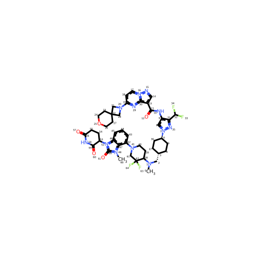 CN(C[C@H]1CC[C@H](n2cc(NC(=O)c3cnn4ccc(N5CC6(CCOCC6)C5)nc34)c(C(F)F)n2)CC1)C1CCN(c2cccc3c2n(C)c(=O)n3C2CCC(=O)NC2=O)CC1(F)F